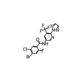 O=C(Nc1cnc(-n2nccn2)c(C(F)(F)F)c1)c1cc(Cl)c(Br)cc1F